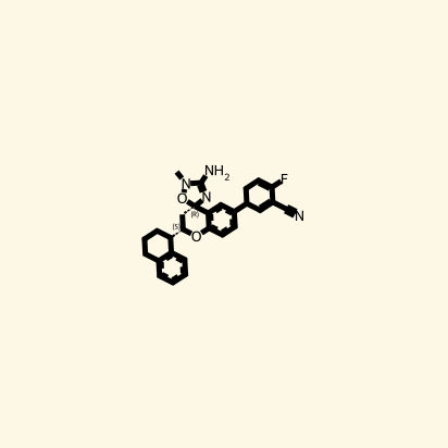 CN1O[C@@]2(C[C@@H](C3CCCc4ccccc43)Oc3ccc(C4C=C(C#N)C(F)=CC4)cc32)N=C1N